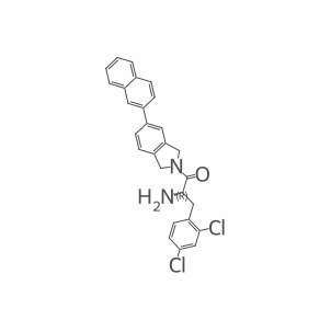 N[C@H](Cc1ccc(Cl)cc1Cl)C(=O)N1Cc2ccc(-c3ccc4ccccc4c3)cc2C1